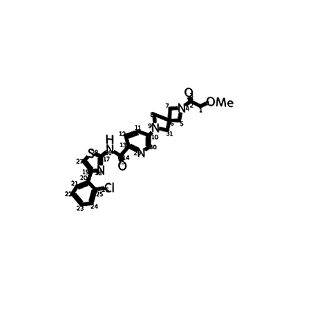 COCC(=O)N1CC2(C1)CN(c1ccc(C(=O)Nc3nc(-c4ccccc4Cl)cs3)nc1)C2